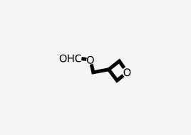 O=COCC1COC1